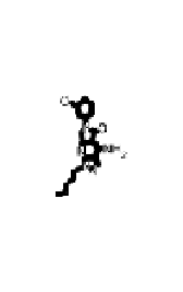 CCCCCn1ncc2c(N)c3c(nc21)CN(c1cccc(Cl)c1)C3=O